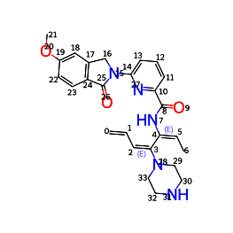 C=C/C=C(\C(=C/C)NC(=O)c1cccc(N2Cc3cc(OC)ccc3C2=O)n1)N1CCNCC1